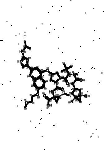 CC[C@@H]1C[C@]1(NC(=O)[C@@H]1C[C@@H](Oc2cc(-c3csc(NC(C)C)n3)nc3cc(OCCOC)ccc23)CN1C(=O)[C@@H](NC(=O)O[C@@H]1C[C@@H]2C[C@@H]2C1)C(C)(C)C)C(=O)O